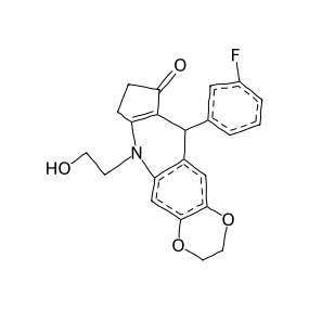 O=C1CCC2=C1C(c1cccc(F)c1)c1cc3c(cc1N2CCO)OCCO3